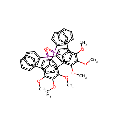 COc1c(OC)c(-c2ccccc2)c(P(=O)(c2ccccc2)c2ccccc2)c(-c2c(OC)c(OC)c(OC)c(-c3ccccc3)c2P(=O)(c2ccccc2)c2ccccc2)c1OC